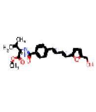 COC(=O)[C@@H](NC(=O)c1ccc(/C=C/C=C/c2ccc(CO)o2)cc1)C(C)C